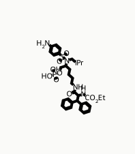 CCOC(=O)NC(C(=O)NCCCCC(COP(=O)(O)O)N(CC(C)C)S(=O)(=O)c1ccc(N)cc1)C(c1ccccc1)c1ccccc1